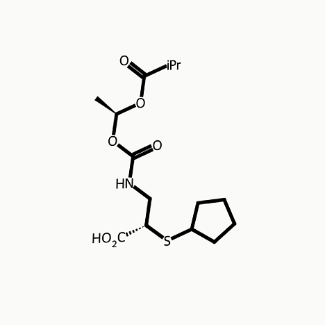 CC(C)C(=O)O[C@H](C)OC(=O)NC[C@H](SC1CCCC1)C(=O)O